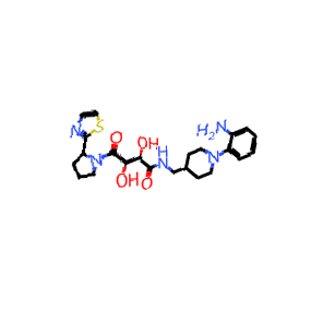 Nc1ccccc1N1CCC(CNC(=O)[C@H](O)[C@@H](O)C(=O)N2CCCC2c2nccs2)CC1